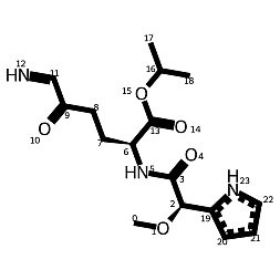 CO[C@@H](C(=O)N[C@@H](CCC(=O)C=N)C(=O)OC(C)C)c1ccc[nH]1